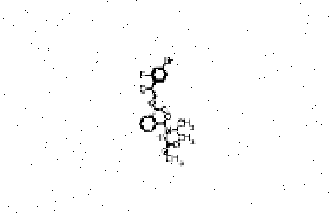 COC(=O)NN(C(=O)C1CCCC[C@@H]1C(=O)OCC(=O)c1ccc(Br)cc1F)C(C)C